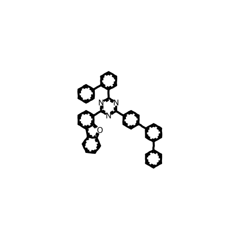 c1ccc(-c2cccc(-c3ccc(-c4nc(-c5ccccc5-c5ccccc5)nc(-c5cccc6c5oc5ccccc56)n4)cc3)c2)cc1